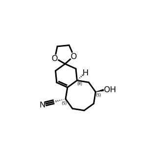 N#C[C@H]1CCC[C@H](O)C[C@@H]2CC3(CC=C21)OCCO3